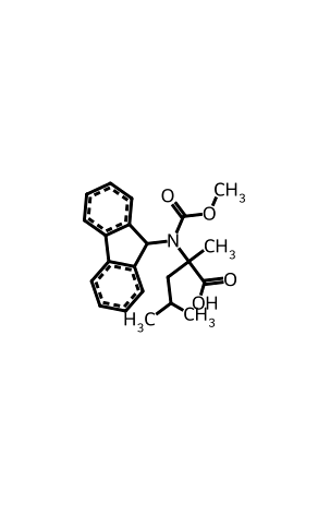 COC(=O)N(C1c2ccccc2-c2ccccc21)C(C)(CC(C)C)C(=O)O